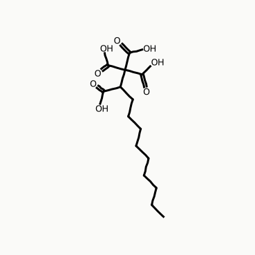 CCCCCCCCCC(C(=O)O)C(C(=O)O)(C(=O)O)C(=O)O